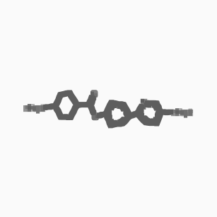 CCCCCCCc1ccc(-c2ccc(OC(=O)C3CCC(CCCCCCC)CC3)cc2)nc1